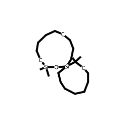 CC1(C)CCCCCCCC[Si]12CCCCCCCCC[Si](C)(C)O2